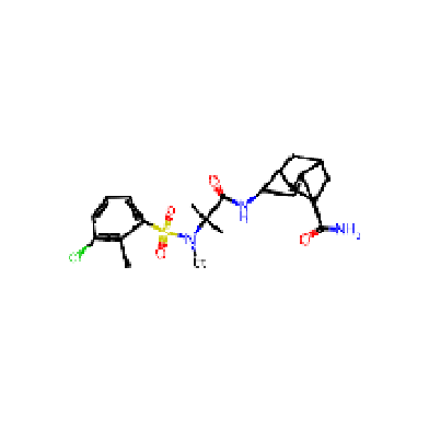 CCN(C(C)(C)C(=O)NC1C=C2C3CC1CC2(C(N)=O)C3)S(=O)(=O)c1cccc(Cl)c1C